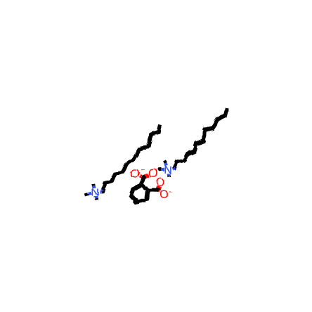 CCCCCCCCCCCC[N+](C)(C)C.CCCCCCCCCCCC[N+](C)(C)C.O=C([O-])c1ccccc1C(=O)[O-]